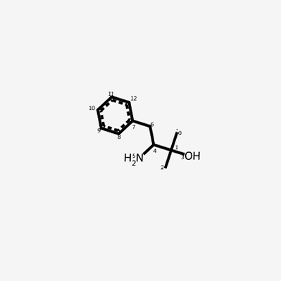 [CH2]C(C)(O)C(N)Cc1ccccc1